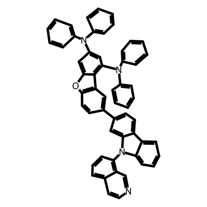 c1ccc(N(c2ccccc2)c2cc(N(c3ccccc3)c3ccccc3)c3c(c2)oc2ccc(-c4ccc5c6ccccc6n(-c6cccc7ccncc67)c5c4)cc23)cc1